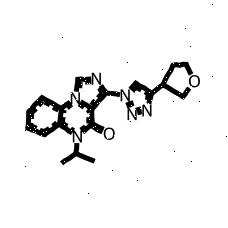 CC(C)n1c(=O)c2c(-n3cc(C4CCOC4)nn3)ncn2c2ccccc21